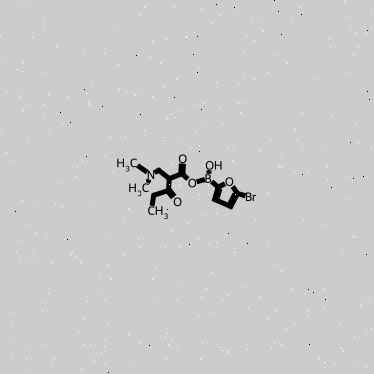 CCC(=O)C(CN(C)C)C(=O)OB(O)c1ccc(Br)o1